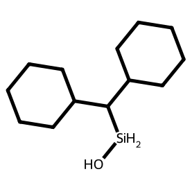 O[SiH2]C(C1CCCCC1)C1CCCCC1